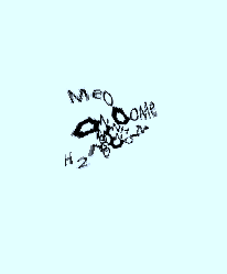 COc1cc(Nc2nc3ccccc3nc2-c2nc(OCCN(C)C)ccc2S(N)(=O)=O)cc(OC)c1